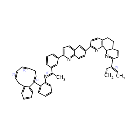 C=C/C(=C\C)C1=NC2c3nc(-c4ccc5nc(-c6cccc(/C(C)=N/c7ccccc7/C7=C/C/C=C\C=C/Cc8ccccc87)c6)ccc5c4)ccc3CCC2C=C1